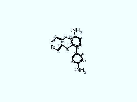 Nc1ccc(-c2ccc(N)c(CC=CF)c2CC=CF)cc1